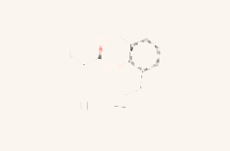 CC(=O)O.Cc1cccc(CCl)c1OC(=O)CI